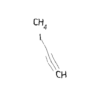 C.C#CI